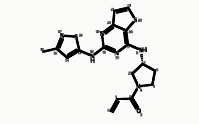 C=CC(=O)N1CC[C@@H](Nc2nc(Nc3cc(C)ns3)nc3ccsc23)C1